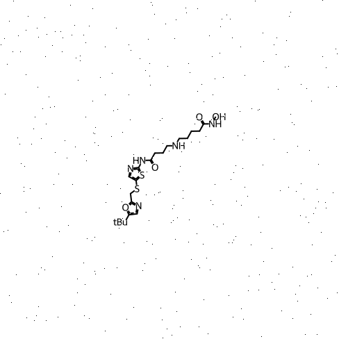 CC(C)(C)c1cnc(CSc2cnc(NC(=O)CCCNCCCCC(=O)NO)s2)o1